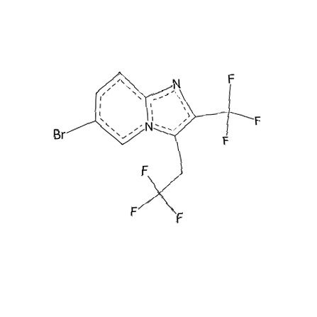 FC(F)(F)Cc1c(C(F)(F)F)nc2ccc(Br)cn12